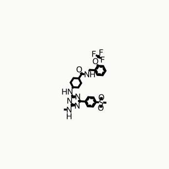 CNc1nc(NC2CCC(C(=O)NCc3ccccc3OC(F)(F)F)CC2)nc(-c2ccc(S(C)(=O)=O)cc2)n1